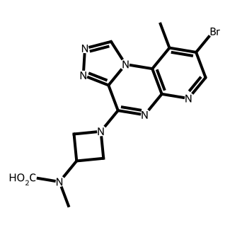 Cc1c(Br)cnc2nc(N3CC(N(C)C(=O)O)C3)c3nncn3c12